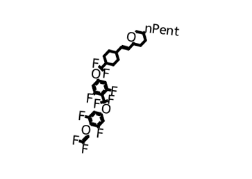 CCCCCC1CCC(/C=C/C2CCC(C(F)(F)Oc3cc(F)c(C(F)(F)Oc4cc(F)c(OC=C(F)F)c(F)c4)c(F)c3)CC2)OC1